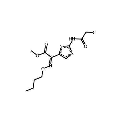 CCCCON=C(C(=O)OC)c1csc(NC(=O)CCl)n1